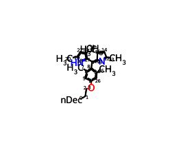 CCCCCCCCCCCCOc1cc(C)c(C(=C2N=C(C)C=C2C)c2[nH]c(C)cc2C)c(C)c1